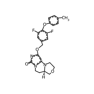 Cc1ccc(Oc2c(F)cc(COc3cc4n(c(=O)n3)CC[C@H]3COCCN43)cc2F)cc1